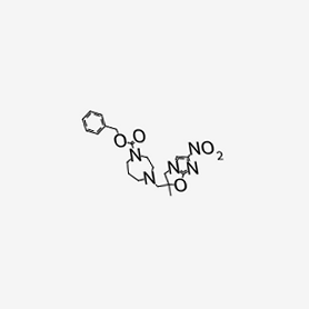 CC1(CN2CCCN(C(=O)OCc3ccccc3)CC2)Cn2cc([N+](=O)[O-])nc2O1